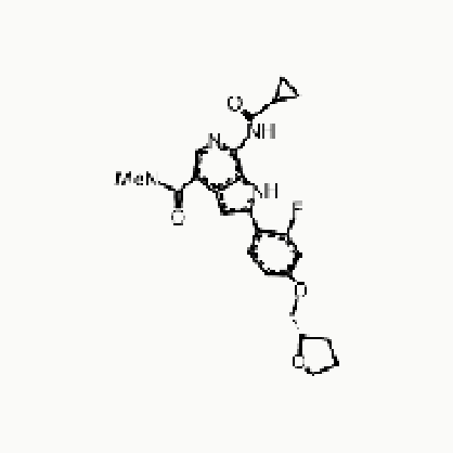 CNC(=O)c1cnc(NC(=O)C2CC2)c2[nH]c(-c3ccc(OC[C@@H]4CCCO4)cc3F)cc12